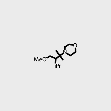 COCC(C(C)C)C(C)(C)N1CCOCC1